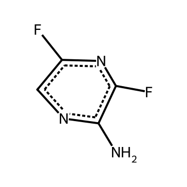 Nc1ncc(F)nc1F